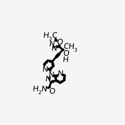 Cc1nnc([C@](C)(O)C#Cc2ccnc(-n3nc(C(N)=O)c4cccnc43)c2)o1